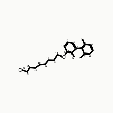 Cc1cccc(C)c1-c1cccc(OCCCCCCCCCl)c1C